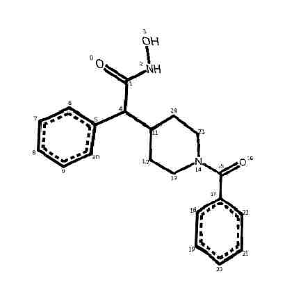 O=C(NO)C(c1ccccc1)C1CCN(C(=O)c2ccccc2)CC1